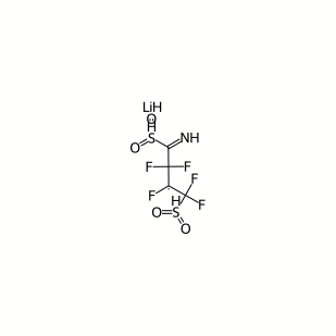 N=C([SH](=O)=O)C(F)(F)[C](F)C(F)(F)[SH](=O)=O.[LiH]